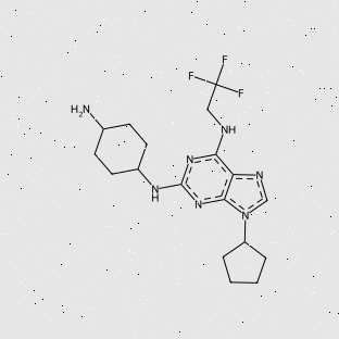 NC1CCC(Nc2nc(NCC(F)(F)F)c3ncn(C4CCCC4)c3n2)CC1